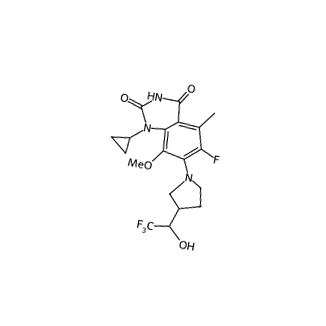 COc1c(N2CCC(C(O)C(F)(F)F)C2)c(F)c(C)c2c(=O)[nH]c(=O)n(C3CC3)c12